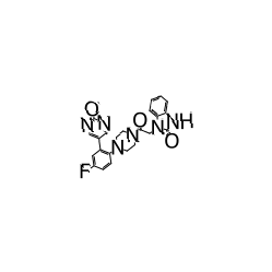 COc1ncc(-c2cc(F)ccc2N2CCN(C(=O)Cn3c(=O)[nH]c4ccccc43)CC2)cn1